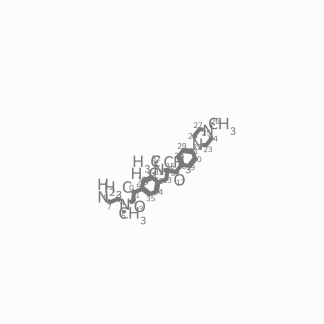 CC(C(=O)N(C)CCN)c1ccc(CC(C)(C(=O)c2ccc(N3CCN(C)CC3)cc2)N(C)C)cc1